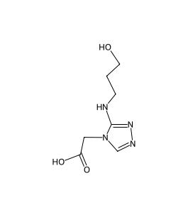 O=C(O)Cn1cnnc1NCCCO